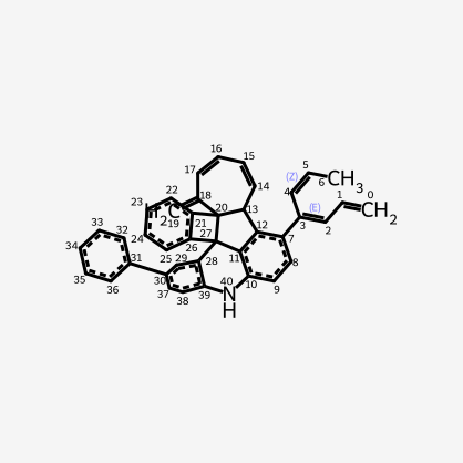 C=C/C=C(\C=C/C)c1ccc2c3c1C1C=CC=CC(=C)C14c1ccccc1C34c1cc(-c3ccccc3)ccc1N2